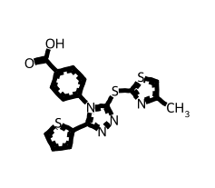 Cc1csc(Sc2nnc(-c3cccs3)n2-c2ccc(C(=O)O)cc2)n1